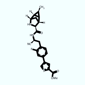 COC(=O)c1cc(-c2ccc(C[C@@H](C#N)NC(=O)[C@H]3N[C@H]4C[C@@H]3C3[C@@H]4[C@H]3C)c(F)c2)cs1